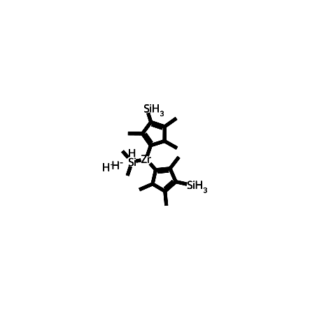 CC1=[C]([Zr]([C]2=C(C)C([SiH3])=C(C)C2C)[SiH](C)C)C(C)C(C)=C1[SiH3].[H-].[H-]